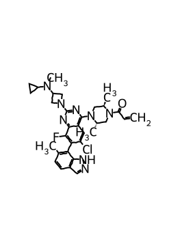 C=CC(=O)N1C[C@H](C)N(c2nc(N3CC(N(C)C4CC4)C3)nc3c(F)c(-c4c(C)ccc5cn[nH]c45)c(Cl)cc23)C[C@H]1C